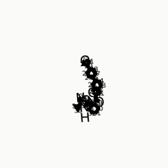 N#CC1(NC(=O)C2(NC(=O)c3cc4ccc(-c5ccc(C6COC6)cc5)cc4o3)CCCCC2)CC1